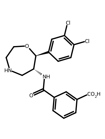 O=C(O)c1cccc(C(=O)N[C@@H]2CNCCO[C@H]2c2ccc(Cl)c(Cl)c2)c1